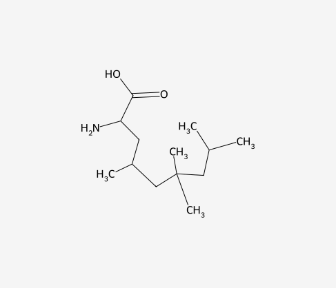 CC(C)CC(C)(C)CC(C)CC(N)C(=O)O